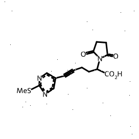 CSc1ncc(C#CCCC(C(=O)O)N2C(=O)CCC2=O)cn1